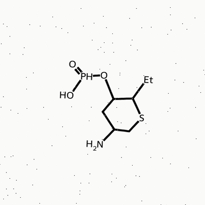 CCC1SCC(N)CC1O[PH](=O)O